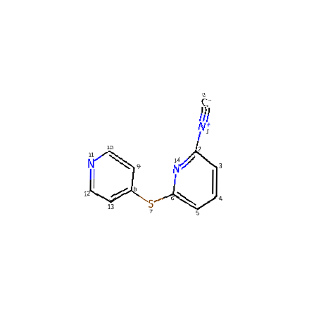 [C-]#[N+]c1cccc(Sc2ccncc2)n1